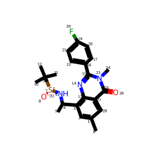 Cc1cc(C(C)N[S@+]([O-])C(C)(C)C)c2nc(-c3ccc(F)cc3)n(C)c(=O)c2c1